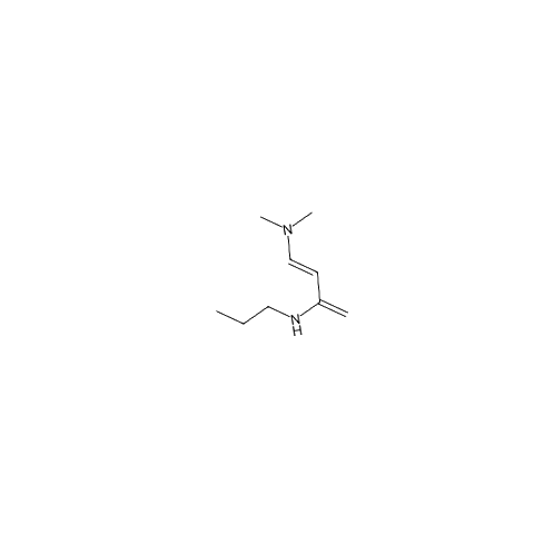 C=C(C=CN(C)C)NCCC